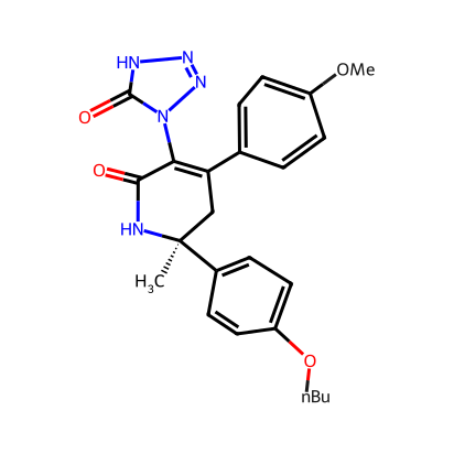 CCCCOc1ccc([C@]2(C)CC(c3ccc(OC)cc3)=C(n3nn[nH]c3=O)C(=O)N2)cc1